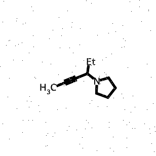 CC#CC(CC)N1CCCC1